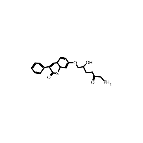 O=C(CP)CCC(O)COC1=CC2SC(=O)C(c3ccccc3)=CC2C=C1